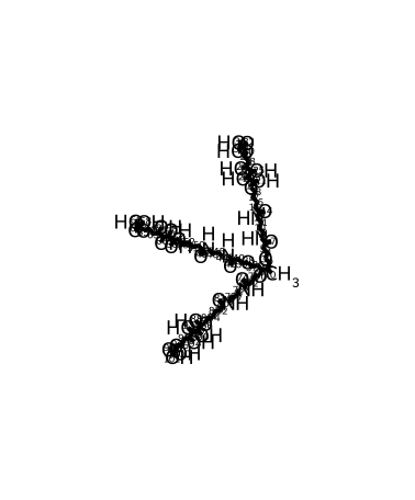 CC(COCCC(=O)NCCCNC(=O)CCCCOC(O)C(O)C(O)C(O)CCOP(=O)(O)O)C(CCOCCC(=O)NCCCNC(=O)CCCCOC(O)C(O)C(O)C(O)CCOP(=O)(O)O)OCCC(=O)NCCCNC(=O)CCCCOC(O)C(O)C(O)C(O)CCOP(=O)(O)O